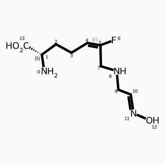 N[C@@H](CC/C=C(/F)CNCC=NO)C(=O)O